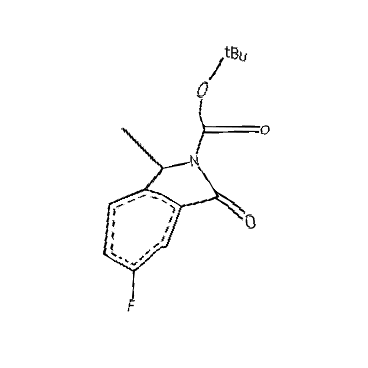 CC1c2ccc(F)cc2C(=O)N1C(=O)OC(C)(C)C